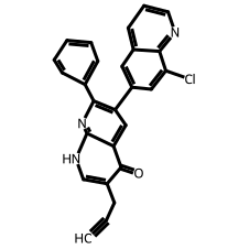 C#CCc1c[nH]c2nc(-c3ccccc3)c(-c3cc(Cl)c4ncccc4c3)cc2c1=O